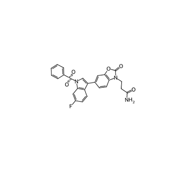 NC(=O)CCn1c(=O)oc2cc(-c3cn(S(=O)(=O)c4ccccc4)c4cc(F)ccc34)ccc21